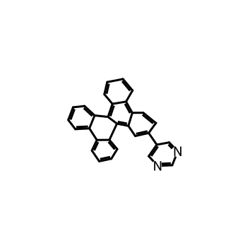 c1ccc2c(c1)c1ccccc1c1c3cc(-c4cncnc4)ccc3c3ccccc3c21